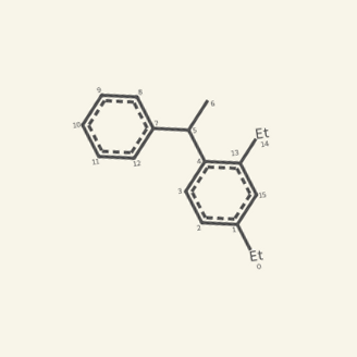 CCc1ccc(C(C)c2ccccc2)c(CC)c1